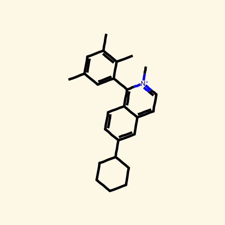 Cc1cc(C)c(C)c(-c2c3ccc(C4CCCCC4)cc3cc[n+]2C)c1